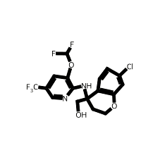 OCC1(Nc2ncc(C(F)(F)F)cc2OC(F)F)CCOc2cc(Cl)ccc21